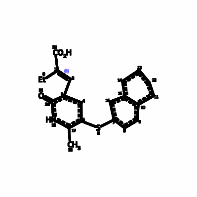 CC/C(=C\c1cc(Sc2ccc3ccccc3c2)c(C)[nH]c1=O)C(=O)O